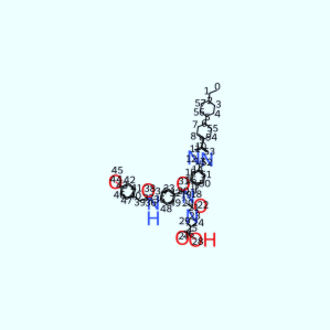 CCC1CCC(C2CC=C(c3cnc(-c4ccc(CN(CC(=O)N5CC(C(=O)O)C5)C(=O)c5ccc(NC(=O)Cc6ccc(OC)cc6)cc5)cc4)nc3)CC2)CC1